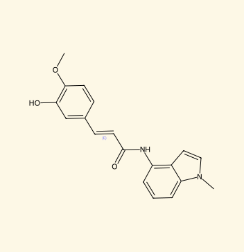 COc1ccc(/C=C/C(=O)Nc2cccc3c2ccn3C)cc1O